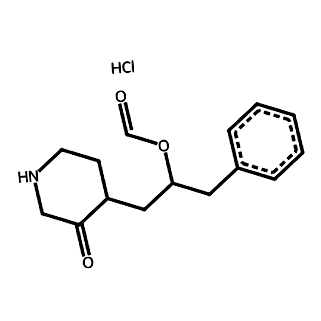 Cl.O=COC(Cc1ccccc1)CC1CCNCC1=O